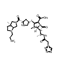 C[C@@H](NC(=O)Cn1cnnn1)[C@H]1C(=O)N2C(C(=O)O)=C(S[C@@H]3CN[C@H](C(=O)N4CC5N(CCN)CC[C@@]5(C)C4)C3)[C@H](C)[C@H]12